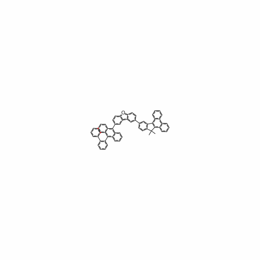 CC1(C)c2ccc(-c3ccc4oc5ccc(-c6c7ccccc7c(-c7ccccc7-c7ccccc7)c7ccccc67)cc5c4c3)cc2-c2c1c1ccccc1c1ccccc21